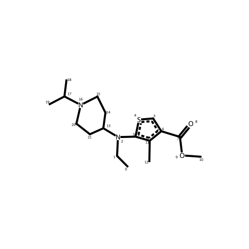 CCN(c1scc(C(=O)OC)c1C)C1CCN(C(C)C)CC1